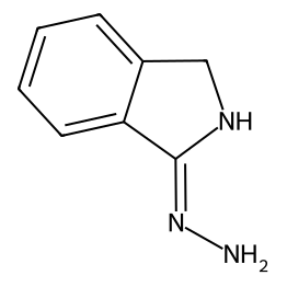 NN=C1NCc2ccccc21